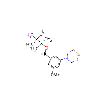 COc1cc(BOC(C)(C)C(C)(C)P)cc(N2CCSCC2)c1